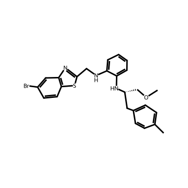 COC[C@H](Cc1ccc(C)cc1)Nc1ccccc1NCc1nc2cc(Br)ccc2s1